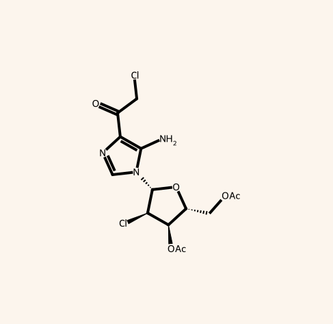 CC(=O)OC[C@H]1O[C@@H](n2cnc(C(=O)CCl)c2N)[C@H](Cl)[C@@H]1OC(C)=O